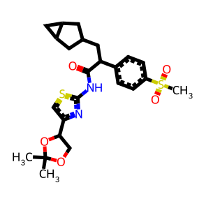 CC1(C)OCC(c2csc(NC(=O)C(CC3CC4CC4C3)c3ccc(S(C)(=O)=O)cc3)n2)O1